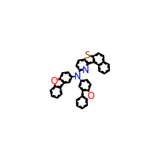 c1ccc2c(c1)ccc1sc3ccc(N(c4ccc5oc6ccccc6c5c4)c4ccc5oc6ccccc6c5c4)nc3c12